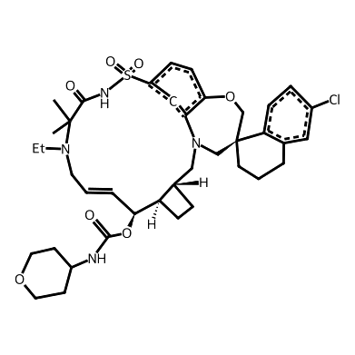 CCN1C/C=C/[C@H](OC(=O)NC2CCOCC2)[C@@H]2CC[C@H]2CN2C[C@@]3(CCCc4cc(Cl)ccc43)COc3ccc(cc32)S(=O)(=O)NC(=O)C1(C)C